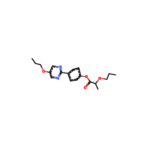 CCCOc1cnc(-c2ccc(OC(=O)C(C)OCCC)cc2)nc1